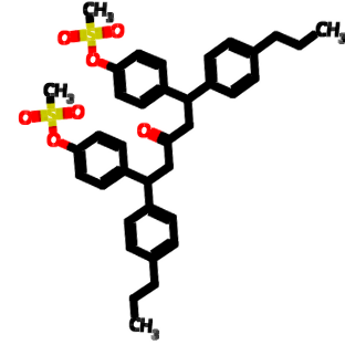 CCCc1ccc(C(CC(=O)CC(c2ccc(CCC)cc2)c2ccc(OS(C)(=O)=O)cc2)c2ccc(OS(C)(=O)=O)cc2)cc1